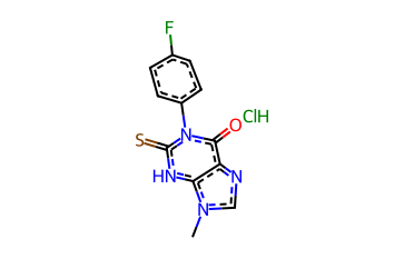 Cl.Cn1cnc2c(=O)n(-c3ccc(F)cc3)c(=S)[nH]c21